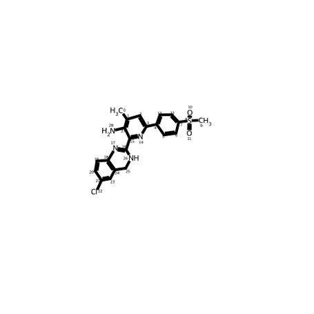 Cc1cc(-c2ccc(S(C)(=O)=O)cc2)nc(C2=Nc3ccc(Cl)cc3CN2)c1N